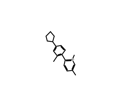 Cc1ccc(-c2ccc(C3CCCC3)cc2C)[n+](C)c1